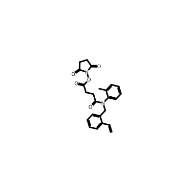 C=Cc1ccccc1CN(C(=O)CCC(=O)ON1C(=O)CCC1=O)c1ccccc1C